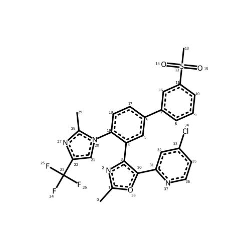 Cc1nc(-c2cc(-c3cccc(S(C)(=O)=O)c3)ccc2-n2cc(C(F)(F)F)nc2C)c(-c2cc(Cl)ccn2)o1